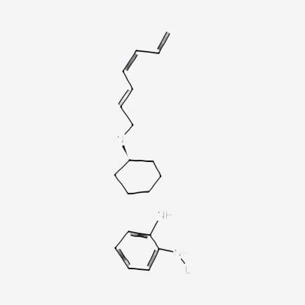 C=C/C=C\C=C\CN[C@H]1CC[C@H](Nc2ccccc2NCC)CC1